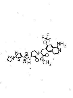 COC(=O)C(Cc1cc2ccnc(N)c2cc1OC(F)(F)F)N1CCC(NS(=O)(=O)c2cnc(N3CCC3)s2)C1=O